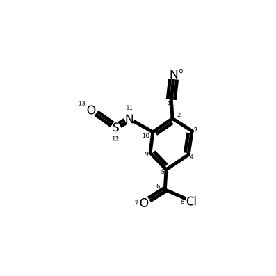 N#Cc1ccc(C(=O)Cl)cc1N=S=O